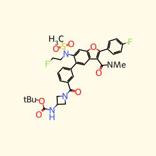 CNC(=O)c1c(-c2ccc(F)cc2)oc2cc(N(CCF)S(C)(=O)=O)c(-c3cccc(C(=O)N4CC(NC(=O)OC(C)(C)C)C4)c3)cc12